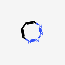 C1=CN=NN=NC=C1